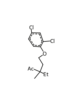 CCC(C)(CCOc1ccc(Cl)cc1Cl)C(C)=O